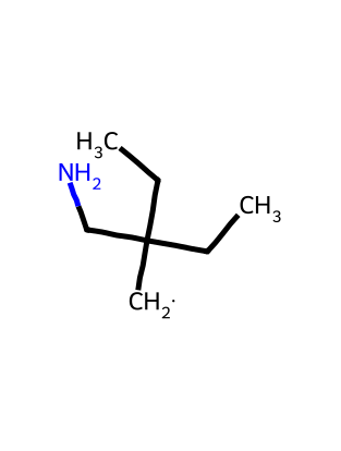 [CH2]C(CC)(CC)CN